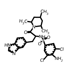 CC1CC(C)N(C(=O)C(Cc2ccc3[nH]cnc3c2)NS(=O)(=O)c2cc(Cl)c(N)c(Cl)c2)C(C)C1